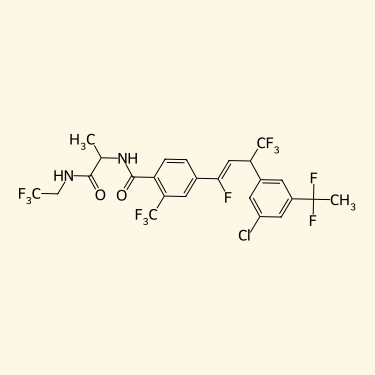 CC(NC(=O)c1ccc(/C(F)=C/C(c2cc(Cl)cc(C(C)(F)F)c2)C(F)(F)F)cc1C(F)(F)F)C(=O)NCC(F)(F)F